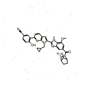 COc1cc(C(=O)N2CC3CCC2C3N)cc2nc(-c3cc4ccc(-c5cc(C#N)ccc5O)nc4n3CC3CC3)n(C)c12